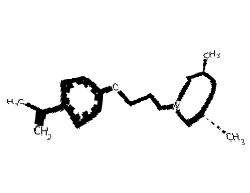 C=C(C)c1ccc(OCCCN2C[C@@H](C)C[C@H](C)C2)cc1